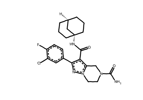 NC(=O)N1CCn2nc(-c3ccc(F)c(Cl)c3)c(C(=O)N[C@]34CCC[C@H](CCC3)C4)c2C1